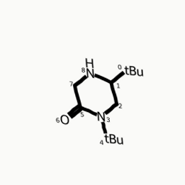 CC(C)(C)C1CN(C(C)(C)C)C(=O)CN1